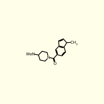 CNC1CCN(C(=O)c2ccc3c(c2)C=CC3C)CC1